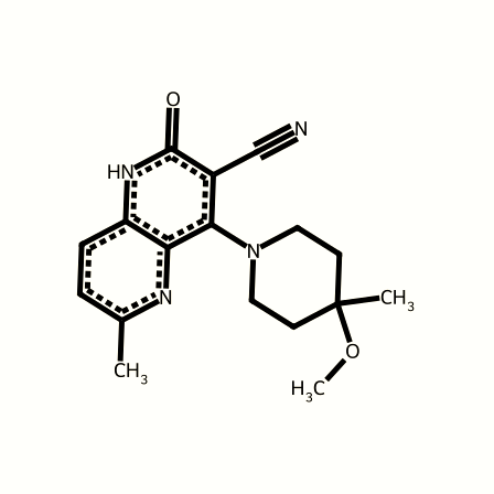 COC1(C)CCN(c2c(C#N)c(=O)[nH]c3ccc(C)nc23)CC1